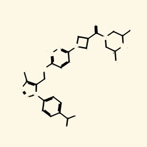 Cc1nnn(-c2ccc(C(F)F)cc2)c1COc1ccc(N2CC(C(=O)N3CC(C)OC(C)C3)C2)nn1